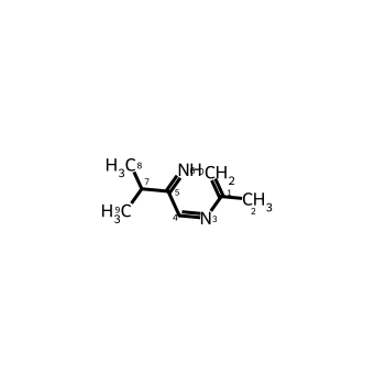 C=C(C)/N=C\C(=N)C(C)C